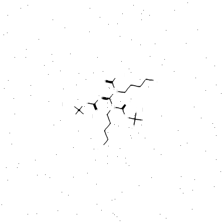 CC(C)(C)OC(=O)N=C(N(CCCCBr)C(=O)O)N(CCCCBr)C(=O)OC(C)(C)C